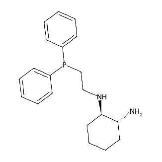 N[C@@H]1CCCC[C@H]1NCCP(c1ccccc1)c1ccccc1